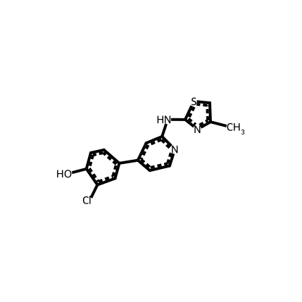 Cc1csc(Nc2cc(-c3ccc(O)c(Cl)c3)ccn2)n1